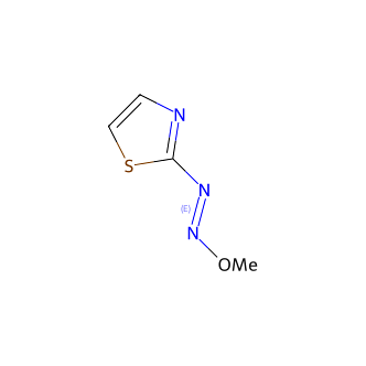 CO/N=N/c1nccs1